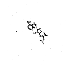 CN(C)CCN(C)C[C@H]1O[C@@H](n2cnc3c(N)ncnc32)[C@H](O)[C@@H]1O